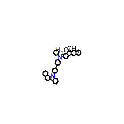 CC1(C)c2cc(N(c3ccccc3)c3ccc(-c4ccc(-n5c6ccccc6c6ccc7ccccc7c65)cc4)cc3)ccc2-c2cc3ccccc3cc21